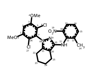 COc1cc(OC)c(Cl)c(-n2nc(Nc3c(C)cccc3[N+](=O)[O-])c3c2CCCC3)c1Cl